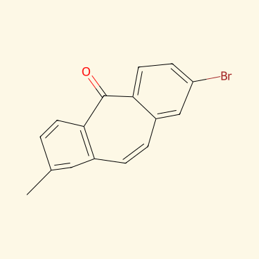 Cc1ccc2c(=O)c3ccc(Br)cc3ccc2c1